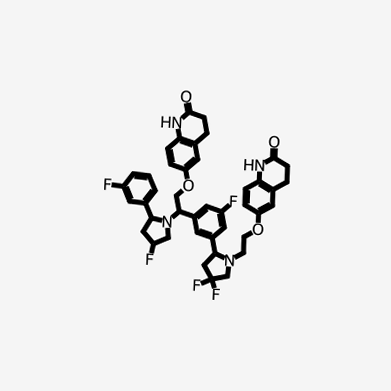 O=C1CCc2cc(OCCN3CC(F)(F)CC3c3cc(F)cc(C(COc4ccc5c(c4)CCC(=O)N5)N4CC(F)CC4c4cccc(F)c4)c3)ccc2N1